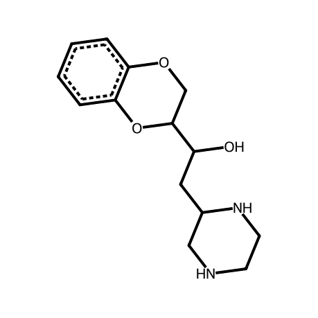 OC(CC1CNCCN1)C1COc2ccccc2O1